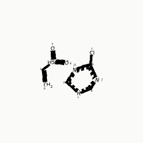 C=C[SH](=O)=O.Clc1ncncn1